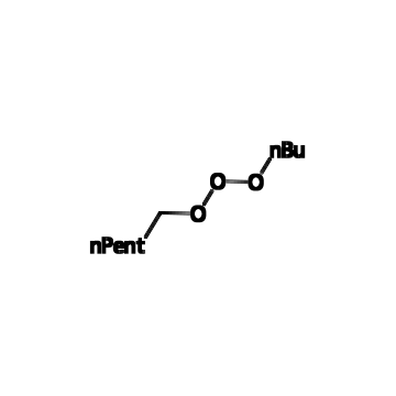 CCCCCCOOOCCCC